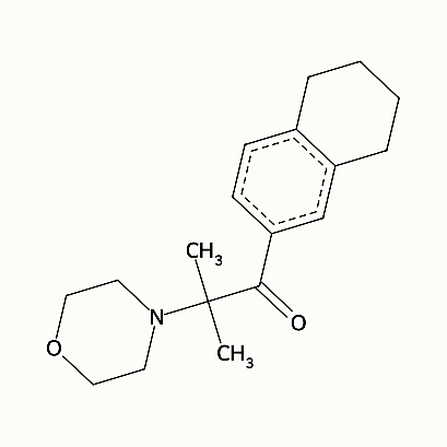 CC(C)(C(=O)c1ccc2c(c1)CCCC2)N1CCOCC1